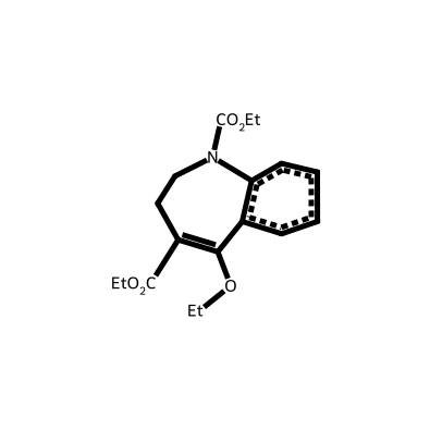 CCOC(=O)C1=C(OCC)c2ccccc2N(C(=O)OCC)CC1